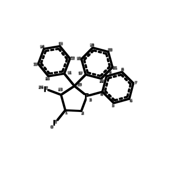 FC1CP(c2ccccc2)C(c2ccccc2)(c2ccccc2)C1F